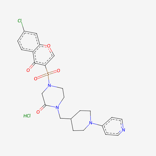 Cl.O=C1CN(S(=O)(=O)c2coc3cc(Cl)ccc3c2=O)CCN1CC1CCN(c2ccncc2)CC1